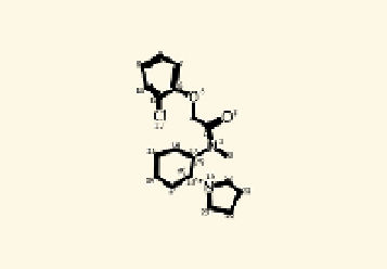 CN(C(=O)COc1ccccc1Cl)[C@@H]1CCCC[C@H]1N1CCCC1